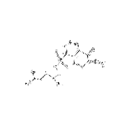 CC(O)COC(C)COS(=O)(=O)c1cccc2c1C=CC(=[N+]=[N-])C2=O